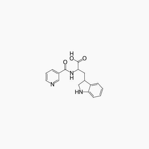 O=C(NC(CC1CNc2ccccc21)C(=O)O)c1cccnc1